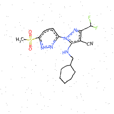 CS(=O)(=O)c1ccc(-n2nc(C(F)F)c(C#N)c2NCC2CCCCC2)nn1